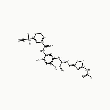 C=N/C(=N\C=C1/CSC(NC(C)=O)=N1)Nc1cc(NC(=O)C2=CCCC(C(C)(C)C#N)=C2)c(F)cc1Cl